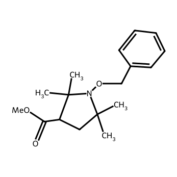 COC(=O)C1CC(C)(C)N(OCc2ccccc2)C1(C)C